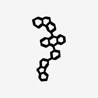 c1cc(-c2ccc3sc4ccccc4c3c2)cc(-c2c3ccccc3c(-c3ccc4ccc5ccccc5c4c3)c3ccccc23)c1